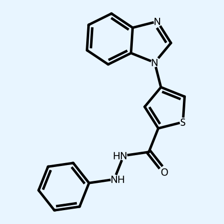 O=C(NNc1ccccc1)c1cc(-n2cnc3ccccc32)cs1